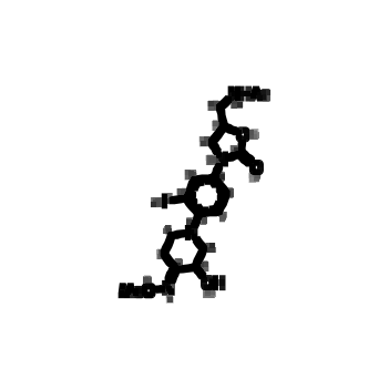 CON=C1CCN(c2ccc(N3CC(CNC(C)=O)OC3=O)cc2F)CC1O